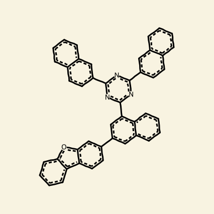 c1ccc2cc(-c3nc(-c4ccc5ccccc5c4)nc(-c4cc(-c5ccc6c(c5)oc5ccccc56)cc5ccccc45)n3)ccc2c1